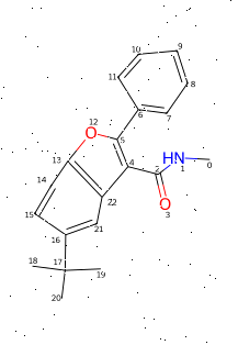 CNC(=O)c1c(-c2ccccc2)oc2ccc(C(C)(C)C)cc12